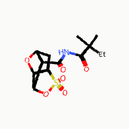 CCC(C)(C)C(=O)NC(=O)C1C2CC3C(O2)C1OS3(=O)=O